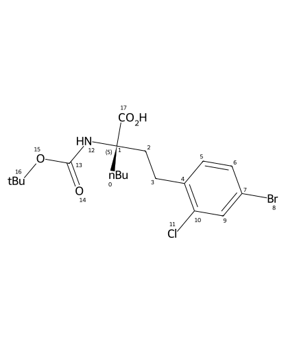 CCCC[C@@](CCc1ccc(Br)cc1Cl)(NC(=O)OC(C)(C)C)C(=O)O